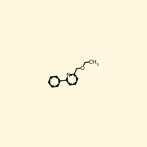 CCOCc1cccc(-c2ccccc2)n1